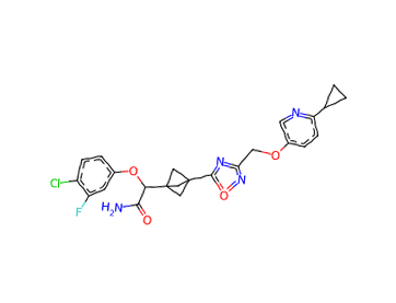 NC(=O)C(Oc1ccc(Cl)c(F)c1)C12CC(c3nc(COc4ccc(C5CC5)nc4)no3)(C1)C2